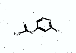 Cc1cc(OC(N)=O)cnn1